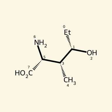 CC[C@H](O)[C@H](C)[C@@H](N)C(=O)O